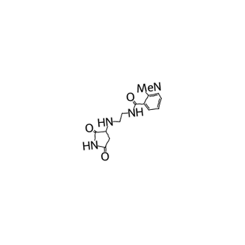 CNc1ccccc1C(=O)NCCNC1CC(=O)NC1=O